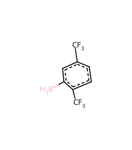 Bc1cc(C(F)(F)F)ccc1C(F)(F)F